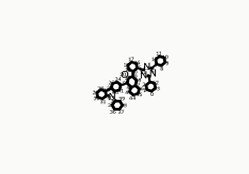 c1ccc(-c2nc(-c3ccccc3)nc(-c3cccc4oc5c(-c6ccc7c8ccccc8n(-c8ccccc8)c7c6)c6ccccc6cc5c34)n2)cc1